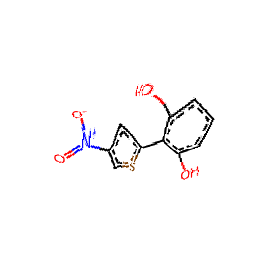 O=[N+]([O-])c1csc(-c2c(O)cccc2O)c1